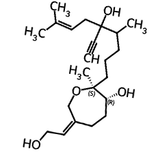 C#CC(O)(CC=C(C)C)C(C)CCC[C@]1(C)OCC(=CCO)CC[C@H]1O